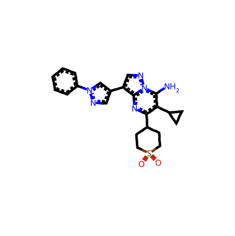 Nc1c(C2CC2)c(C2CCS(=O)(=O)CC2)nc2c(-c3cnn(-c4ccccc4)c3)cnn12